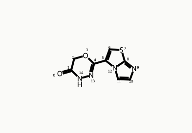 O=C1COC(c2csc3nccn23)=NN1